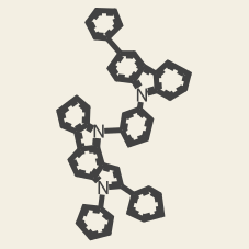 c1ccc(-c2ccc3c(c2)c2ccccc2n3-c2cccc(-n3c4ccccc4c4ccc5c(cc(-c6ccccc6)n5-c5ccccc5)c43)c2)cc1